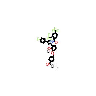 COc1c(OCc2ccc(C(C)=O)cc2)cccc1C1CC(c2ccc(F)cc2)=CN1C(=O)c1ccc(C(F)(F)F)cc1C(F)(F)F